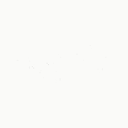 CC(C)C(=O)OC[C@H]1O[C@@H](n2ccc(=O)[nH]c2=O)C(O)C1O